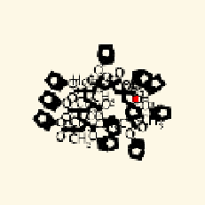 CCC(C)(CC(C)(CC(C)(CC(C)(CC(C)(CC(C)(CC(C)(CC(C)(CC(C)(CC(C)(C)C(=O)OC1CC2CCC1C2)C(=O)OC1CC2CCC1C2)C(=O)OC1CC2CCC1C2)C(=O)OC1CC2CCC1C2)C(=O)OC1CC2CCC1C2)C(=O)OC1CC2CCC1C2)C(=O)OC1CC2CCC1C2)C(=O)OC1CC2CCC1C2)C(=O)OC1CC2CCC1C2)C(=O)OC1CC2CCC1C2